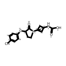 O=C(O)NC12CC(N3CCC(Oc4ccc(Cl)cc4)C3=O)(C1)C2